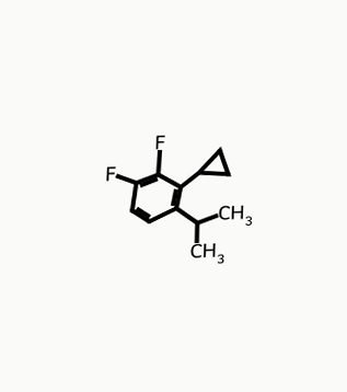 CC(C)c1ccc(F)c(F)c1C1CC1